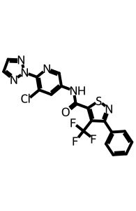 O=C(Nc1cnc(-n2nccn2)c(Cl)c1)c1snc(-c2ccccc2)c1C(F)(F)F